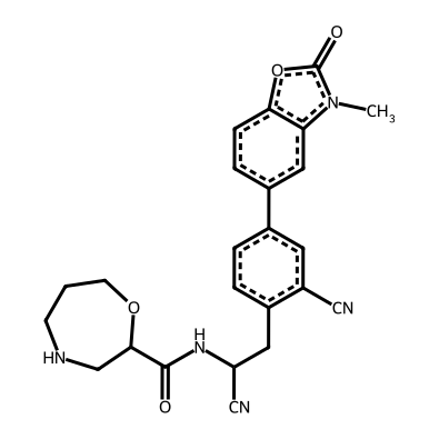 Cn1c(=O)oc2ccc(-c3ccc(CC(C#N)NC(=O)C4CNCCCO4)c(C#N)c3)cc21